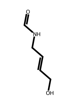 O=CNCC=CCO